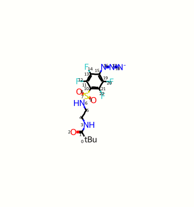 CC(C)(C)C(=O)NCCNS(=O)(=O)c1c(F)c(F)c(N=[N+]=[N-])c(F)c1F